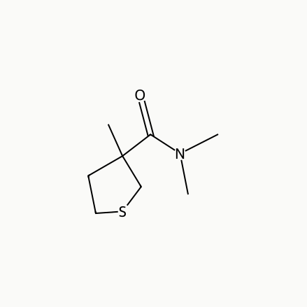 CN(C)C(=O)C1(C)CCSC1